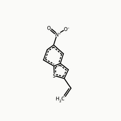 C=Cc1cc2cc([N+](=O)[O-])ccc2s1